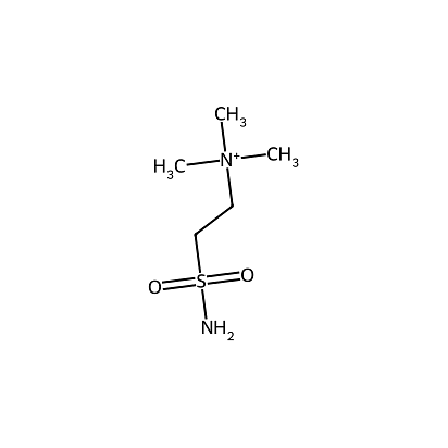 C[N+](C)(C)CCS(N)(=O)=O